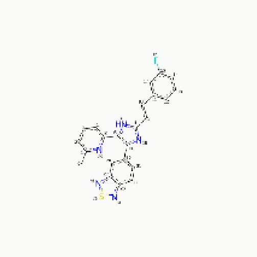 Cc1cccc(-c2[nH]c(/C=C/c3cccc(F)c3)nc2-c2ccc3nsnc3c2)n1